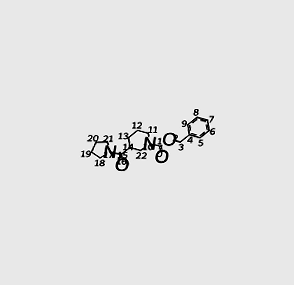 O=C(OCc1ccccc1)N1CCCC(C(=O)N2CCCC2)C1